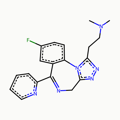 CN(C)CCc1nnc2n1-c1ccc(F)cc1C(c1ccccn1)=NC2